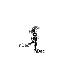 CCCCCCCCCCCCCCOCC(CNC(=O)[C@H]1CC[C@H](NC(=O)OC(C)(C)C)CC1)OCCCCCCCCCCCCCC